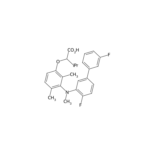 Cc1ccc(OC(C(=O)O)C(C)C)c(C)c1N(C)c1cc(-c2cccc(F)c2)ccc1F